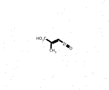 CC(=[CH][Zr]=[O])C(=O)O